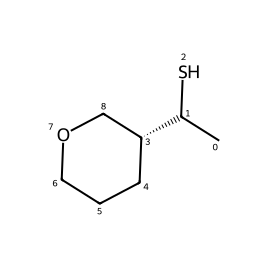 CC(S)[C@@H]1CCCOC1